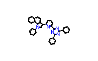 c1ccc(-c2nc(-c3ccccc3)nc(-c3cccc(-c4cn(-c5ccccc5)c5c4ccc4ccccc45)n3)n2)cc1